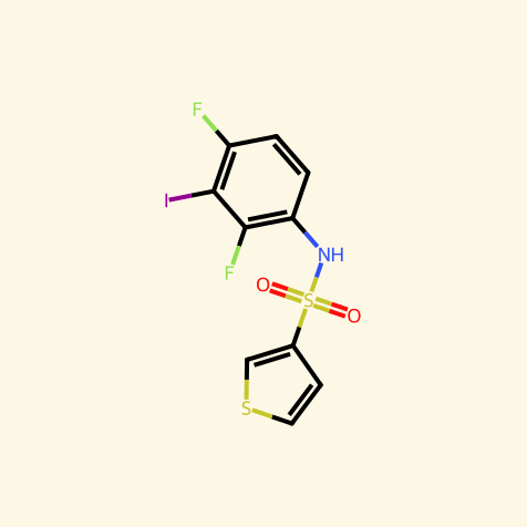 O=S(=O)(Nc1ccc(F)c(I)c1F)c1ccsc1